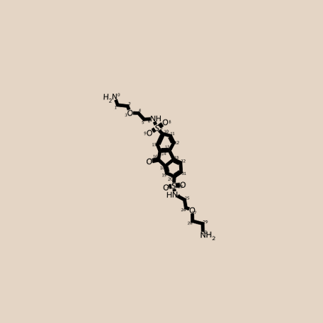 NCCOCCNS(=O)(=O)c1ccc2c(c1)C(=O)c1cc(S(=O)(=O)NCCOCCN)ccc1-2